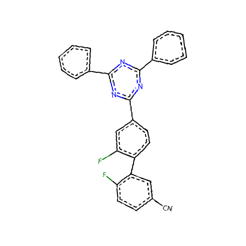 N#Cc1ccc(F)c(-c2ccc(-c3nc(-c4ccccc4)nc(-c4ccccc4)n3)cc2F)c1